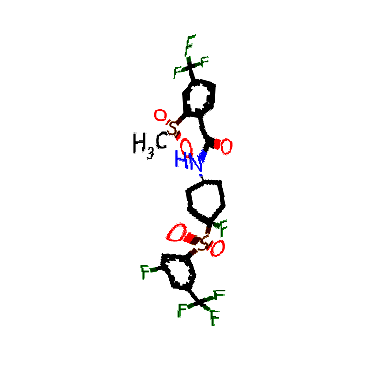 CS(=O)(=O)c1cc(C(F)(F)F)ccc1C(=O)N[C@H]1CC[C@@](F)(S(=O)(=O)c2cc(F)cc(C(F)(F)F)c2)CC1